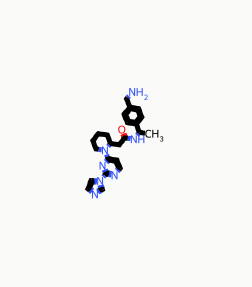 CC(NC(=O)CC1CCCCN1c1ccnc(-n2ccnc2)n1)c1ccc(CN)cc1